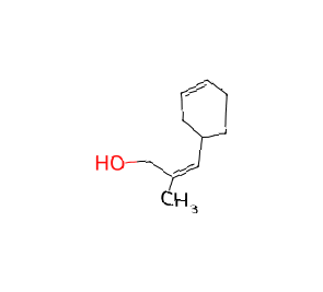 CC(=CC1CC=CCC1)CO